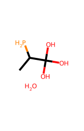 CC(P)C(O)(O)O.O